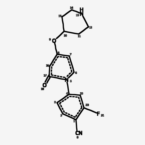 N#Cc1ccc(-n2ccc(OC3CCNCC3)cc2=O)cc1F